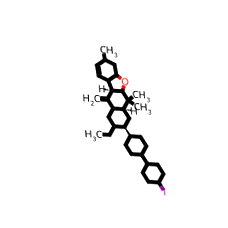 C=C1C2CC(CC)[C@H](C3CCC(C4CCC(I)CC4)CC3)C[C@@H]2C(C)(C)C2OC3CC(C)C=CC3[C@H]12